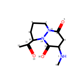 CNC1CC(=O)N2CCCC(C(C)=O)N2C1=O